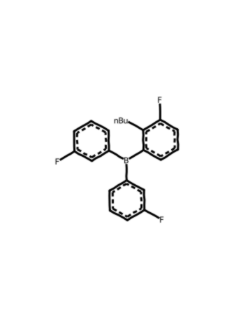 CCCCc1c(F)cccc1B(c1cccc(F)c1)c1cccc(F)c1